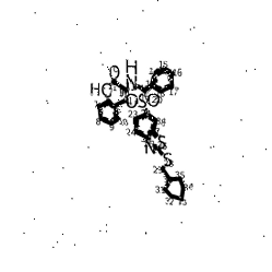 O=C(O)[C@@H](Cc1ccccc1)NC(c1ccccc1)S(=O)(=O)c1ccc2nc(SCC3CCCCC3)sc2c1